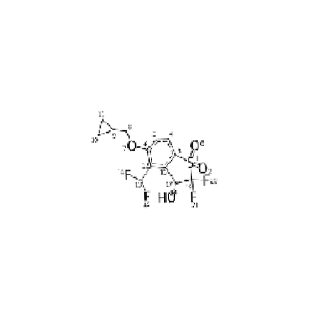 O=S1(=O)c2ccc(OCC3CC3)c(C(F)F)c2[C@@H](O)C1(F)F